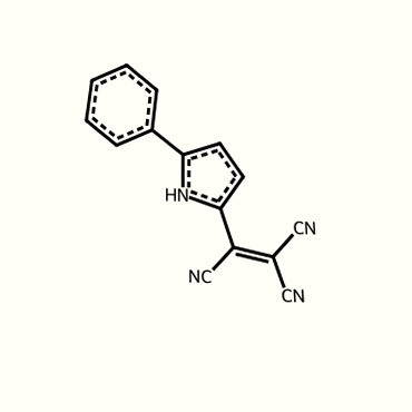 N#CC(C#N)=C(C#N)c1ccc(-c2ccccc2)[nH]1